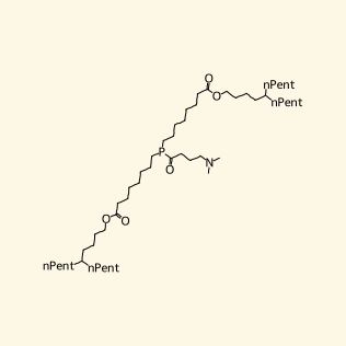 CCCCCC(CCCCC)CCCCOC(=O)CCCCCCCP(CCCCCCCC(=O)OCCCCC(CCCCC)CCCCC)C(=O)CCCN(C)C